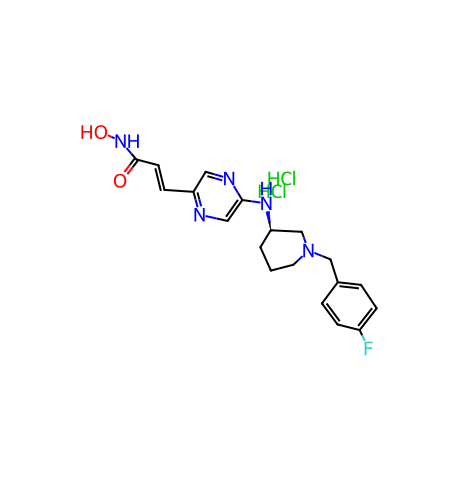 Cl.Cl.O=C(/C=C/c1cnc(N[C@@H]2CCCN(Cc3ccc(F)cc3)C2)cn1)NO